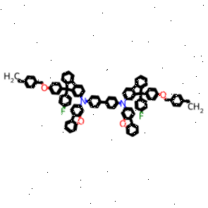 C=Cc1ccc(COc2ccc(C3(c4ccc(F)cc4)c4ccccc4-c4ccc(N(c5ccc(-c6ccc(N(c7ccc8c(c7)C(c7ccc(F)cc7)(c7ccc(OCc9ccc(C=C)cc9)cc7)c7ccccc7-8)c7ccc8c(c7)oc7ccccc78)cc6)cc5)c5ccc6c(c5)oc5ccccc56)cc43)cc2)cc1